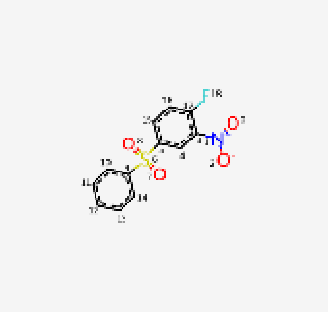 O=[N+]([O-])c1cc(S(=O)(=O)c2ccccc2)ccc1F